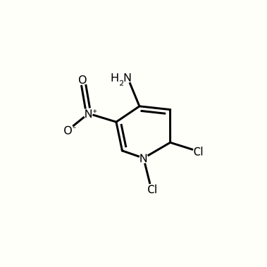 NC1=CC(Cl)N(Cl)C=C1[N+](=O)[O-]